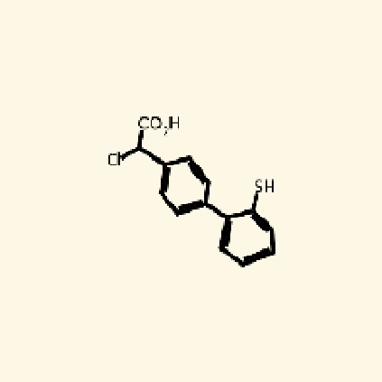 O=C(O)C(Cl)c1ccc(-c2ccccc2S)cc1